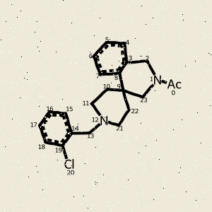 CC(=O)N1Cc2ccccc2C2(CCN(Cc3ccccc3Cl)CC2)C1